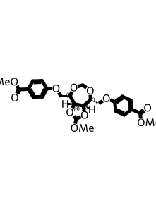 COC(=O)c1ccc(OC[C@H]2OCO[C@H](COc3ccc(C(=O)OC)cc3)[C@H]3OC(OC)O[C@@H]32)cc1